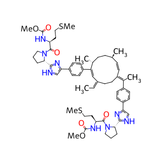 C/C=C1\C=C(\c2ccc(-c3c[nH]c([C@@H]4CCCN4C(=O)[C@H](CCSC)NC(=O)OC)n3)cc2)[C@H](C)CC[C@@H](C)/C=C\C(=C(/C)c2ccc(-c3c[nH]c([C@@H]4CCCN4C(=O)[C@H](CCSC)NC(=O)OC)n3)cc2)CC1